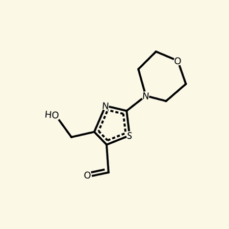 O=Cc1sc(N2CCOCC2)nc1CO